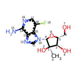 C[C@@]1(O)[C@H](O)[C@@H](CO)O[C@H]1n1cnc2c(N)ncc(F)c21